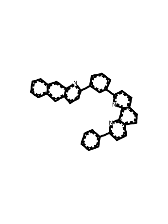 c1ccc(-c2ccc3ccc4ccc(-c5cccc(-c6ccc7cc8ccccc8cc7n6)c5)nc4c3n2)cc1